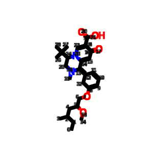 CCC(C)CC(COC1=CC=C/C(=C2\c3cc(=O)c(C(=O)O)cn3C(C(C)(C)C)CN2C)C1)OC